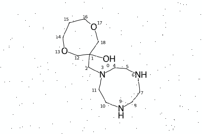 OC1(CN2CCNCCNCC2)COCCCOC1